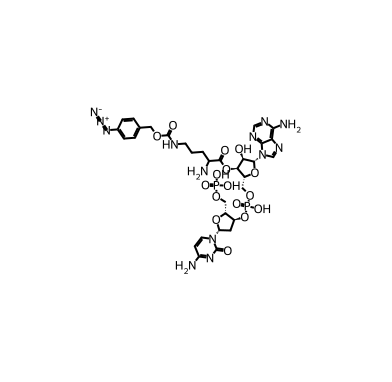 [N-]=[N+]=Nc1ccc(COC(=O)NCCCC(N)C(=O)O[C@H]2[C@@H](O)[C@H](n3cnc4c(N)ncnc43)O[C@@H]2COP(=O)(O)O[C@H]2C[C@H](n3ccc(N)nc3=O)O[C@@H]2COP(=O)(O)O)cc1